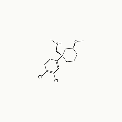 CNC[C@]1(c2ccc(Cl)c(Cl)c2)CCC[C@H](OC)C1